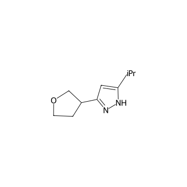 CC(C)c1cc(C2CCOC2)n[nH]1